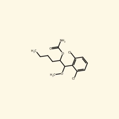 CCCCC(OC(N)=O)C(OC)c1c(Cl)cccc1Cl